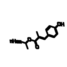 CCCCCCC(C)OC(=O)/C(C)=C/c1ccc(O)cc1